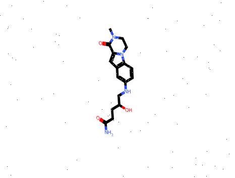 CN1CCn2c(cc3cc(NCC(O)CCC(N)=O)ccc32)C1=O